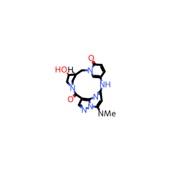 CNc1cc2nc3c(cnn13)C(=O)N1C[C@H](Cn3cc(ccc3=O)N2)[C@H](O)C1